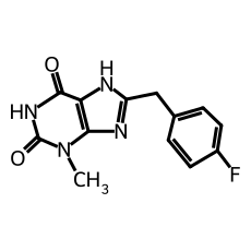 Cn1c(=O)[nH]c(=O)c2[nH]c(Cc3ccc(F)cc3)nc21